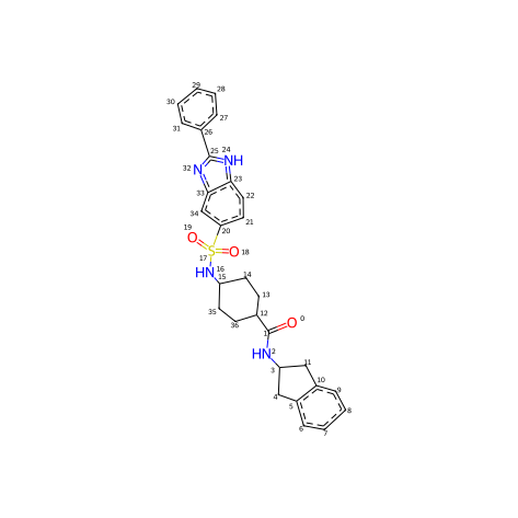 O=C(NC1Cc2ccccc2C1)C1CCC(NS(=O)(=O)c2ccc3[nH]c(-c4ccccc4)nc3c2)CC1